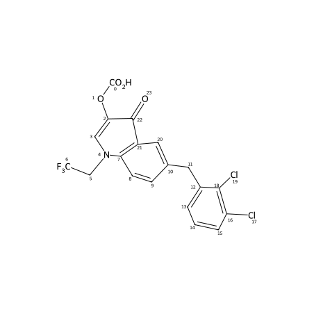 O=C(O)Oc1cn(CC(F)(F)F)c2ccc(Cc3cccc(Cl)c3Cl)cc2c1=O